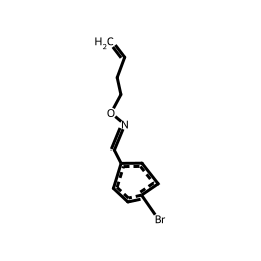 C=CCCON=[C]c1ccc(Br)cc1